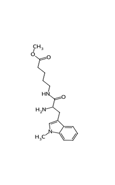 COC(=O)CCCCNC(=O)C(N)Cc1cn(C)c2ccccc12